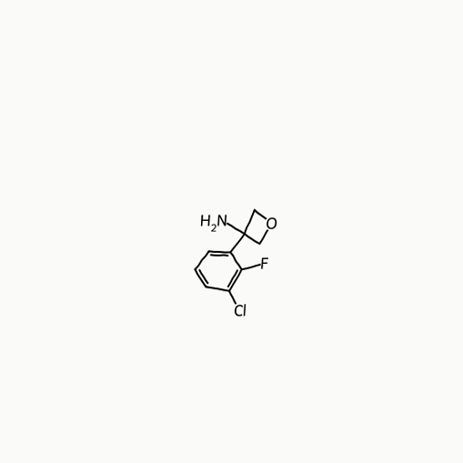 NC1(c2cccc(Cl)c2F)COC1